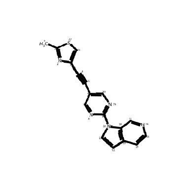 Cc1nc(C#Cc2cnc(-n3ccc4ccncc43)nc2)cs1